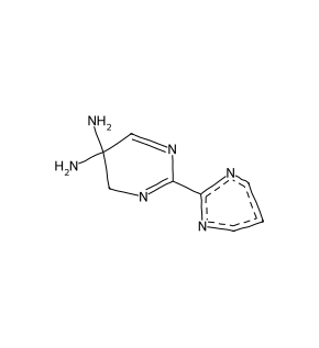 NC1(N)C=NC(c2ncccn2)=NC1